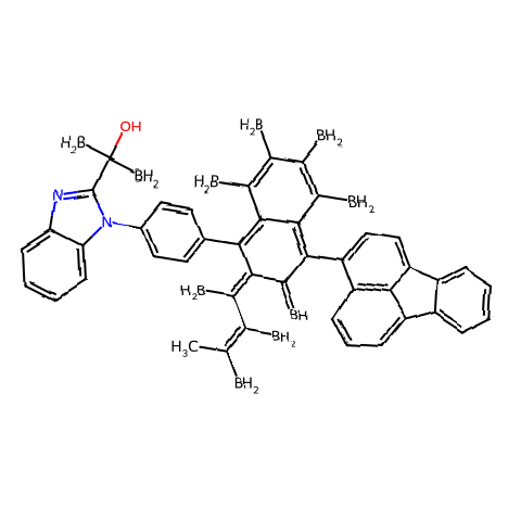 B=c1c(-c2ccc3c4c(cccc24)-c2ccccc2-3)c2c(B)c(B)c(B)c(B)c2c(-c2ccc(-n3c(C(B)(B)O)nc4ccccc43)cc2)/c1=C(B)/C(B)=C(/B)C